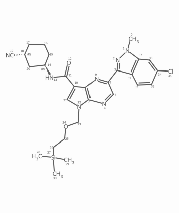 Cn1nc(-c2cnc3c(n2)c(C(=O)N[C@@H]2CCC[C@@H](C#N)C2)cn3COCC[Si](C)(C)C)c2ccc(Cl)cc21